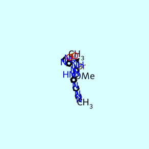 COc1cc(N2CCC(N3CCN(C)CC3)CC2)ccc1Nc1ncc(Br)c(Nc2ccc3nccnc3c2N(C2CC2)S(C)(=O)=O)n1